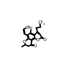 Cc1c(/C=C\C(C)(C)C)c2c(c3oc(=O)cc(CCC(F)(F)F)c13)C(=O)CC(C)O2